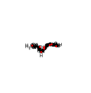 Cc1cc(-c2n[nH]c3ncc(-c4ccc(C5CCN(CC6CCN(c7ccc(N8CCC(=O)NC8=O)cc7)CC6)CC5)cc4)cc23)c(F)cc1CNC(=O)c1noc(C(C)(C)C)n1